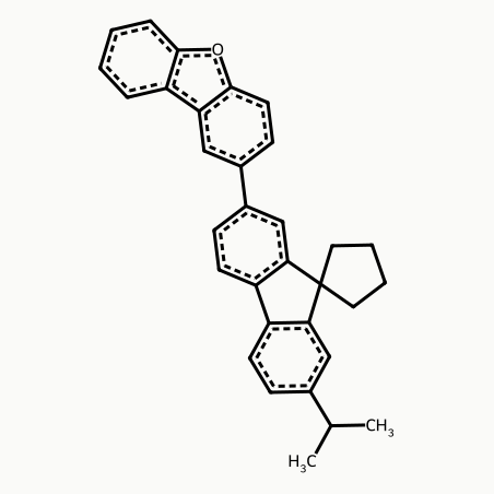 CC(C)c1ccc2c(c1)C1(CCCC1)c1cc(-c3ccc4oc5ccccc5c4c3)ccc1-2